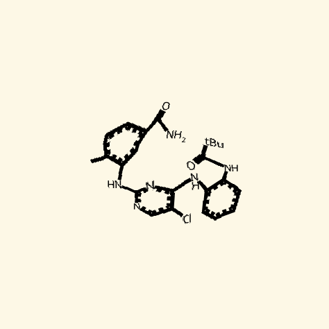 Cc1ccc(C(N)=O)cc1Nc1ncc(Cl)c(Nc2ccccc2NC(=O)C(C)(C)C)n1